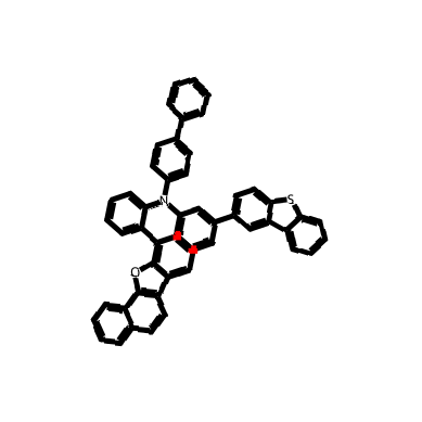 c1ccc(-c2ccc(N(c3cccc(-c4ccc5sc6ccccc6c5c4)c3)c3ccccc3-c3cccc4c3oc3c5ccccc5ccc43)cc2)cc1